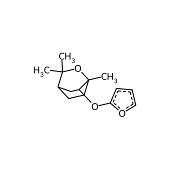 CC1(C)OC2(C)CCC1CC2Oc1ccco1